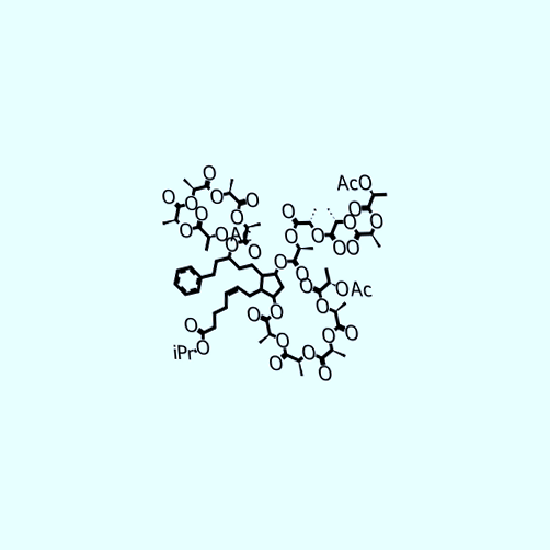 CC(=O)O[C@@H](C)C(=O)O[C@@H](C)C(=O)O[C@@H](C)C(=O)O[C@@H](C)C(=O)O[C@@H](C)C(=O)OC(CCc1ccccc1)CCC1C(OC(=O)[C@H](C)OC(=O)[C@H](C)OC(=O)[C@H](C)OC(=O)[C@H](C)OC(=O)[C@H](C)OC(C)=O)CC(OC(=O)[C@H](C)OC(=O)[C@H](C)OC(=O)[C@H](C)OC(=O)[C@H](C)OC(=O)[C@H](C)OC(C)=O)C1C/C=C\CCCC(=O)OC(C)C